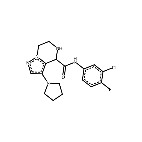 O=C(Nc1ccc(F)c(Cl)c1)C1NCCn2ncc(N3CCCC3)c21